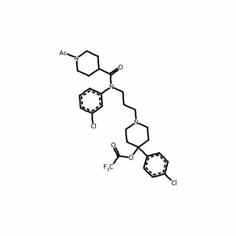 CC(=O)N1CCC(C(=O)N(CCCN2CCC(OC(=O)C(F)(F)F)(c3ccc(Cl)cc3)CC2)c2cccc(Cl)c2)CC1